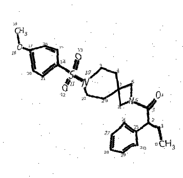 CCC(C(=O)N1CC2(CCN(S(=O)(=O)c3ccc(OC)cc3)CC2)C1)c1ccccc1